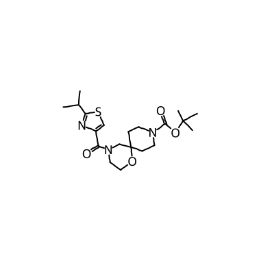 CC(C)c1nc(C(=O)N2CCOC3(CCN(C(=O)OC(C)(C)C)CC3)C2)cs1